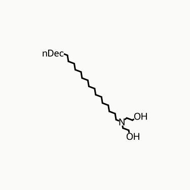 CCCCCCCCCCCCCCCCCCCCCCCCCCN(CCO)CCO